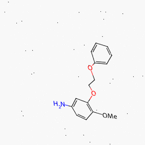 COc1ccc(N)cc1OCCOc1ccccc1